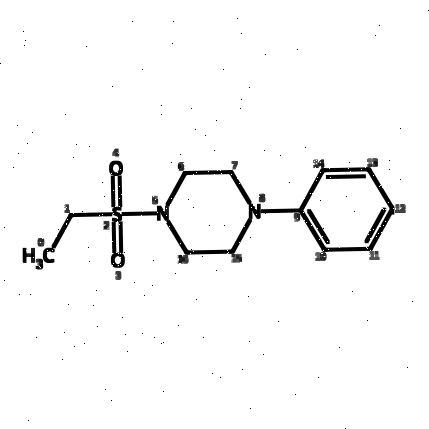 CCS(=O)(=O)N1CCN(c2cc[c]cc2)CC1